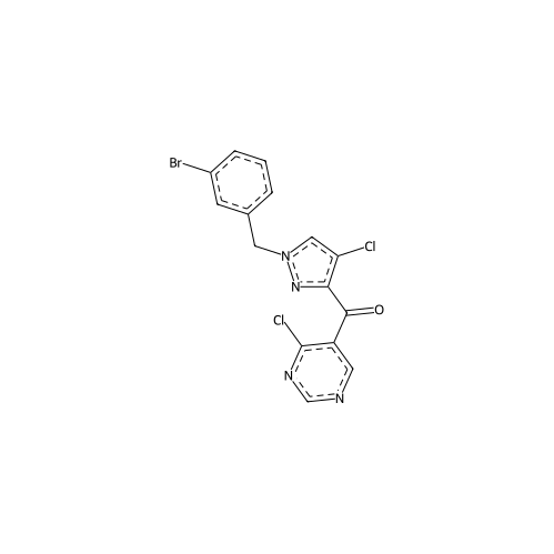 O=C(c1cncnc1Cl)c1nn(Cc2cccc(Br)c2)cc1Cl